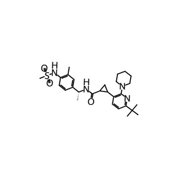 Cc1cc([C@@H](C)NC(=O)C2CC2c2ccc(C(C)(C)C)nc2N2CCCCC2)ccc1NS(C)(=O)=O